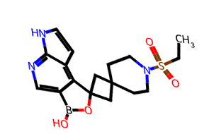 CCS(=O)(=O)N1CCC2(CC1)CC1(C2)OB(O)c2cnc3[nH]ccc3c21